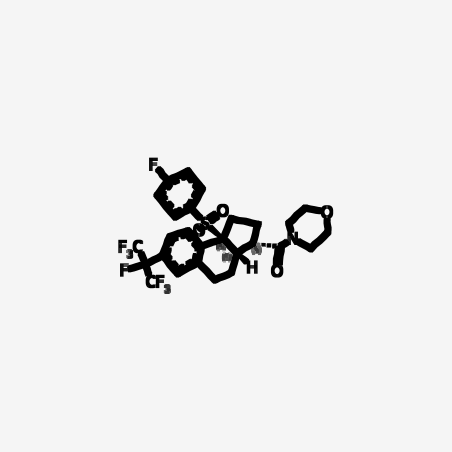 O=C([C@H]1CC[C@@]2(S(=O)(=O)c3ccc(F)cc3)c3ccc(C(F)(C(F)(F)F)C(F)(F)F)cc3CC[C@@H]12)N1CCOCC1